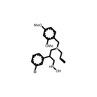 C=CCN(Cc1ccc(OC)cc1OC)CC(CNO)c1cccc(Br)c1